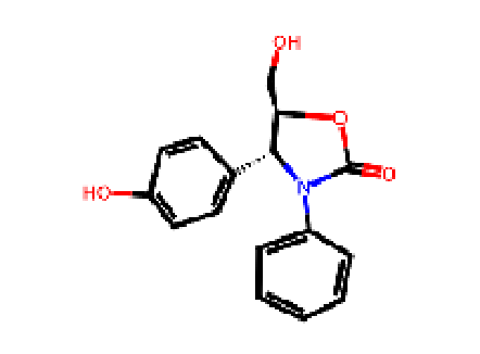 O=C1O[C@H](CO)[C@@H](c2ccc(O)cc2)N1c1ccccc1